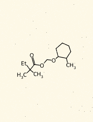 CCC(C)(C)C(=O)OCOC1CCCCC1C